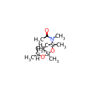 CC(=O)N(C)[Si](C)(C)O[Si](C)(C)O[SiH](C)C